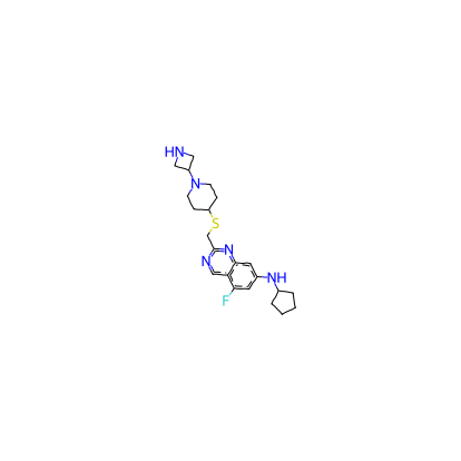 Fc1cc(NC2CCCC2)cc2nc(CSC3CCN(C4CNC4)CC3)ncc12